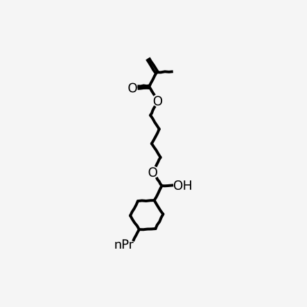 C=C(C)C(=O)OCCCCOC(O)C1CCC(CCC)CC1